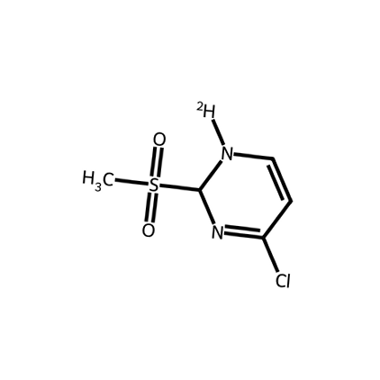 [2H]N1C=CC(Cl)=NC1S(C)(=O)=O